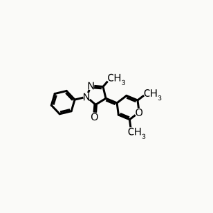 CC1=CC(=C2C(=O)N(c3ccccc3)N=C2C)C=C(C)O1